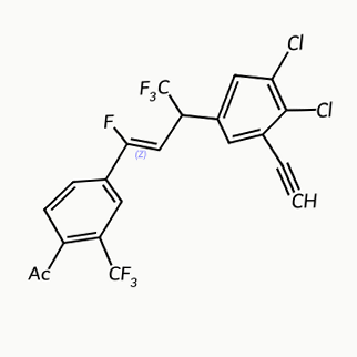 C#Cc1cc(C(/C=C(\F)c2ccc(C(C)=O)c(C(F)(F)F)c2)C(F)(F)F)cc(Cl)c1Cl